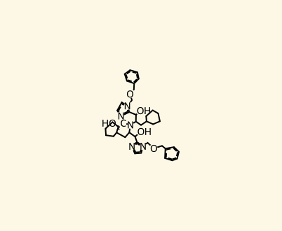 O=C(O)N(C(CC1CCCCC1)C(O)c1nccn1COCc1ccccc1)C(CC1CCCCC1)C(O)c1nccn1COCc1ccccc1